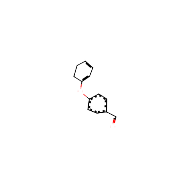 O=Cc1ccc(OC2=CC=CCC2)cc1